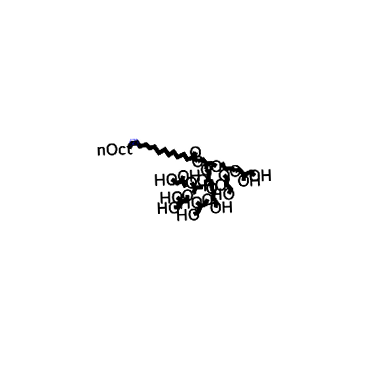 CCCCCCCC/C=C\CCCCCCCCCCCC(=O)OCC(COCC(COCC(O)CO)OCC(O)CO)OCC(COCC(CO)OCC(O)CO)OCC(COCC(O)CO)OCC(O)CO